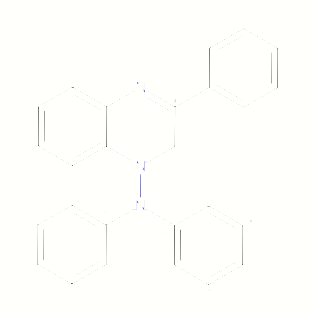 c1ccc(C2=Nc3ccccc3N(N(c3ccccc3)c3ccccc3)C2)cc1